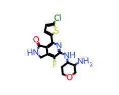 NC1COCCC1Nc1nc(-c2ccc(Cl)s2)c2c(c1F)CNC2=O